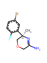 C[C@@]1(c2cc(Br)ccc2F)COCC(N)=N1